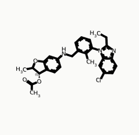 CCc1nc2ccc(Cl)cc2n1-c1cccc(CNc2ccc3c(c2)OC(C)[C@H]3OC(C)=O)c1C